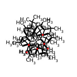 Cc1cc(C(C)(C)C)c(S(c2cc(C(C)(C)C)c(O)cc2C)(c2cc(C(C)(C)C)c(O)cc2C)(c2c(C(C)(C)C)cc(C)cc2C(C)(C)C)(c2c(C(C)(C)C)cc(C)cc2C(C)(C)C)c2c(C(C)(C)C)cc(C)cc2C(C)(C)C)c(C(C)(C)C)c1